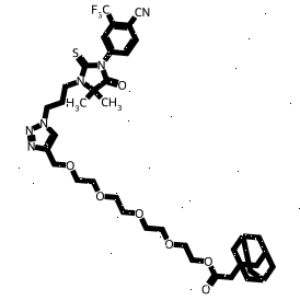 CC1(C)C(=O)N(c2ccc(C#N)c(C(F)(F)F)c2)C(=S)N1CCCn1cc(COCCOCCOCCOCCOC(=O)CC23CC4CC(CC(C4)C2)C3)nn1